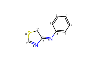 C1=NC(=Nc2ccccc2)CS1